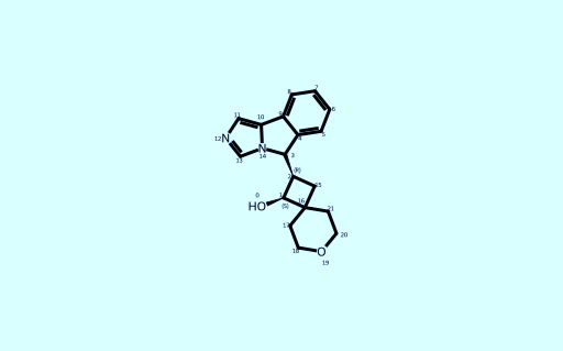 O[C@H]1[C@@H](C2c3ccccc3-c3cncn32)CC12CCOCC2